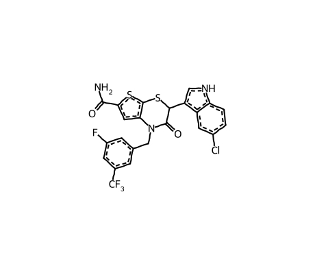 NC(=O)c1cc2c(s1)SC(c1c[nH]c3ccc(Cl)cc13)C(=O)N2Cc1cc(F)cc(C(F)(F)F)c1